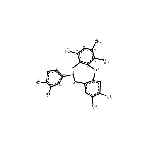 Cc1cc2c(cc1C)Oc1c(C)c(C)cc(O)c1CC(c1ccc(O)c(O)c1)C2